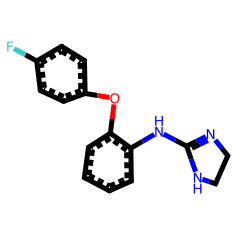 Fc1ccc(Oc2ccccc2NC2=NCCN2)cc1